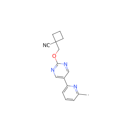 [CH2]c1cccc(-c2cnc(OCC3(C#N)CCC3)nc2)n1